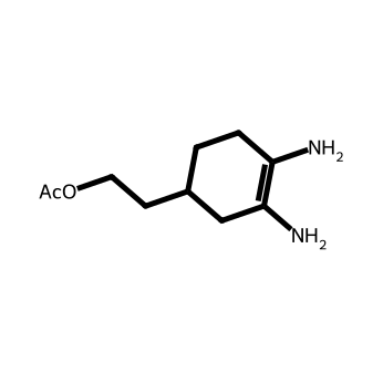 CC(=O)OCCC1CCC(N)=C(N)C1